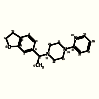 C[C@@H](c1ccc2c(c1)OCC2)N1CCN(c2ccccn2)CC1